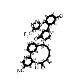 C[C@@H]1CCC[C@H](n2cnc(-c3cc(Cl)ccc3-n3cc(C(F)(F)F)nn3)cc2=O)c2cccc(c2)-c2ncc(C#N)cc2NC1=O